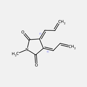 C=C/C=C1/C(=O)N(C)C(=O)/C1=C/C=C